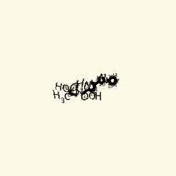 CC(CNC(=O)c1ncc(-c2cnn(-c3ccccc3)c2)cc1O)C(=O)O